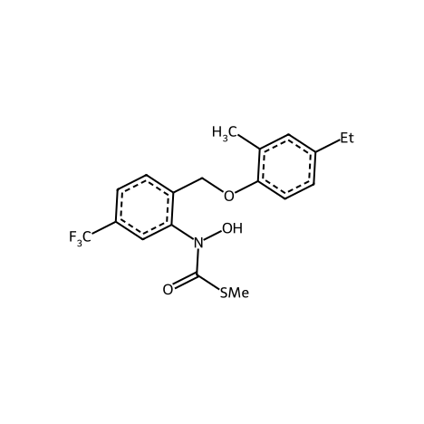 CCc1ccc(OCc2ccc(C(F)(F)F)cc2N(O)C(=O)SC)c(C)c1